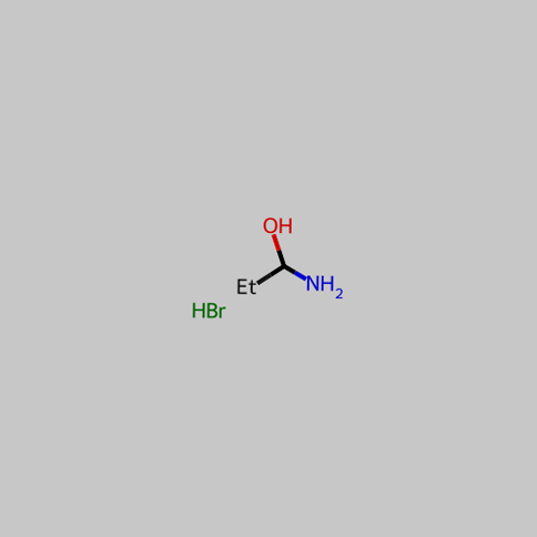 Br.CCC(N)O